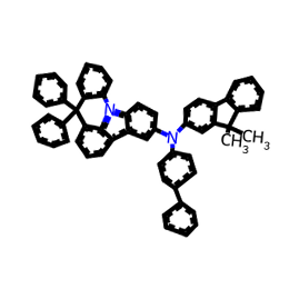 CC1(C)c2ccccc2-c2ccc(N(c3ccc(-c4ccccc4)cc3)c3ccc4c(c3)c3cccc5c3n4-c3ccccc3C5(c3ccccc3)c3ccccc3)cc21